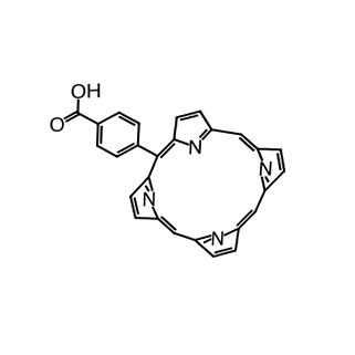 O=C(O)c1ccc(C2=C3C=CC(=N3)C=C3C=CC(=N3)C=C3C=CC(=N3)C=C3C=CC2=N3)cc1